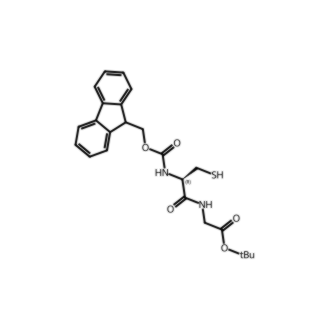 CC(C)(C)OC(=O)CNC(=O)[C@H](CS)NC(=O)OCC1c2ccccc2-c2ccccc21